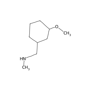 CNCC1CCCC(OC)C1